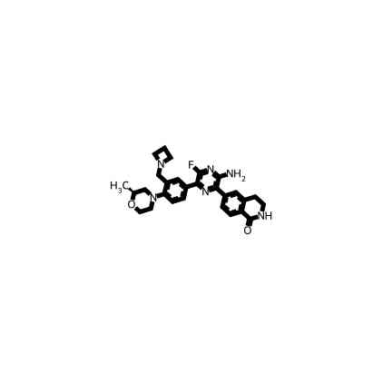 C[C@H]1CN(c2ccc(-c3nc(-c4ccc5c(c4)CCNC5=O)c(N)nc3F)cc2CN2CCC2)CCO1